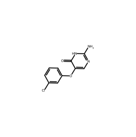 Nc1ncc(Oc2cccc(Cl)c2)c(=O)[nH]1